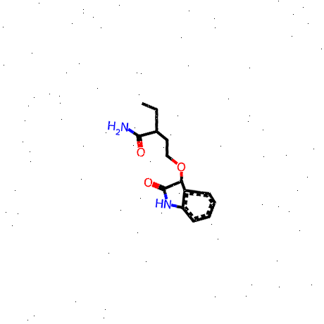 CCC(CCOC1C(=O)Nc2ccccc21)C(N)=O